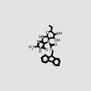 CCC1OC2Nc3nc(N)[nH]c(=O)c3N(C(=O)OCC3c4ccccc4-c4ccccc43)C2C(O)C1O